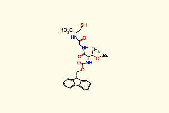 C[C@@H](OC(C)(C)C)[C@H](NC(=O)OCC1c2ccccc2-c2ccccc21)C(=O)NCC(=O)N[C@@H](CS)C(=O)O